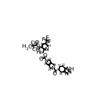 CC(C)(C)C(=O)Nc1cc(C(F)(F)F)cnc1COC(=O)N1CC2=C(C1)CN(C(=O)[C@@H]1CCc3[nH]nnc3C1)C2